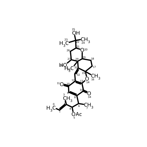 C/C=C(\C)C(OC(C)=O)C(C)C1=CC(=O)C2=C(OC3(C)CCC4OC(C(C)(C)O)CC(O)C4(C)C3=C2)C1=O